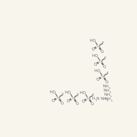 N.N.N.N.N.N.O=[Te](=O)(O)F.O=[Te](=O)(O)F.O=[Te](=O)(O)F.O=[Te](=O)(O)F.O=[Te](=O)(O)F.O=[Te](=O)(O)F